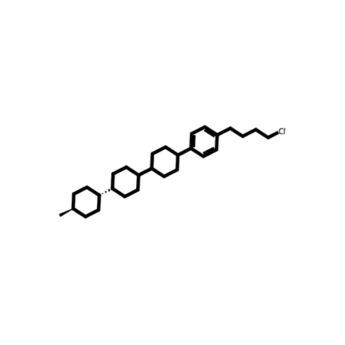 C[C@H]1CC[C@H](C2CCC(C3CCC(c4ccc(CCCCCl)cc4)CC3)CC2)CC1